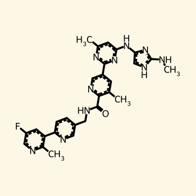 CNc1nc(Nc2cc(C)nc(-c3cnc(C(=O)NCc4ccc(-c5cc(F)cnc5C)nc4)c(C)c3)n2)c[nH]1